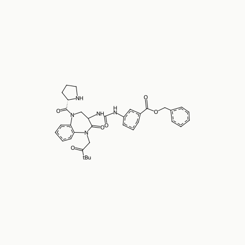 CC(C)(C)C(=O)CN1C(=O)C(NC(=O)Nc2cccc(C(=O)OCc3ccccc3)c2)CN(C(=O)[C@@H]2CCCN2)c2ccccc21